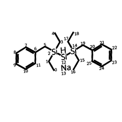 CC[Si](CC)(Cc1ccccc1)[SiH]([Na])[Si](CC)(CC)Cc1ccccc1